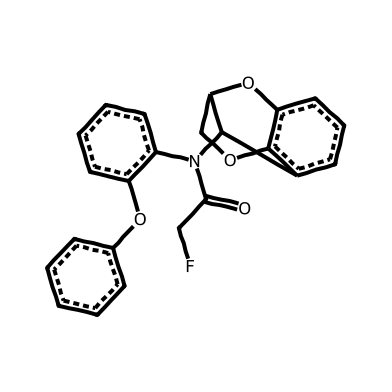 O=C(CF)N(c1ccccc1Oc1ccccc1)C1c2cccc3c2OCC1O3